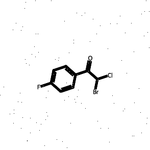 O=C(c1ccc(F)cc1)C(Cl)Br